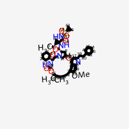 C=C[C@@H]1C[C@]1(NC(=O)[C@@H]1C[C@@H]2CN1C(=O)[C@H](C1CCCCC1)NC(=O)OCC(C)(C)CCCc1cc3c(cc(CCc4ccccc4)nc3cc1OC)O2)C(=O)NS(=O)(=O)C1CC1